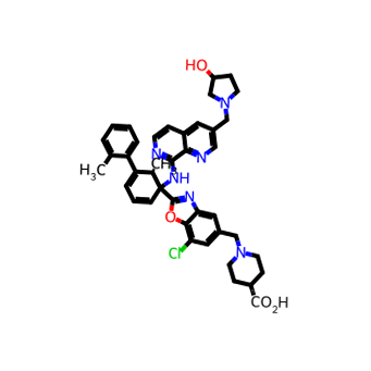 Cc1ccccc1C1=CC=CC(Nc2nccc3cc(CN4CCC(O)C4)cnc23)(c2nc3cc(CN4CCC(C(=O)O)CC4)cc(Cl)c3o2)[C@H]1C